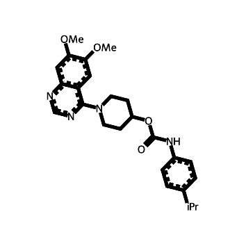 COc1cc2ncnc(N3CCC(OC(=O)Nc4ccc(C(C)C)cc4)CC3)c2cc1OC